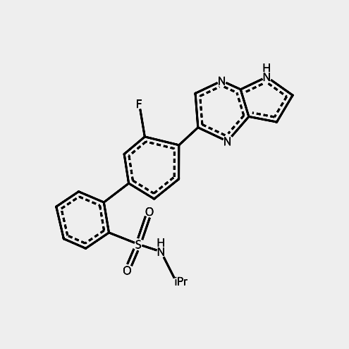 CC(C)NS(=O)(=O)c1ccccc1-c1ccc(-c2cnc3[nH]ccc3n2)c(F)c1